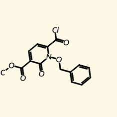 COC(=O)c1ccc(C(=O)Cl)n(OCc2ccccc2)c1=O